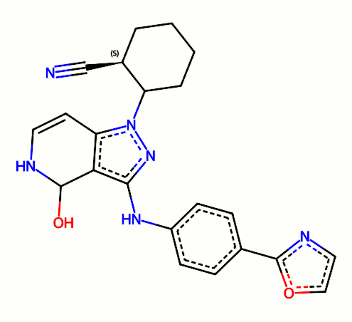 N#C[C@H]1CCCCC1n1nc(Nc2ccc(-c3ncco3)cc2)c2c1C=CNC2O